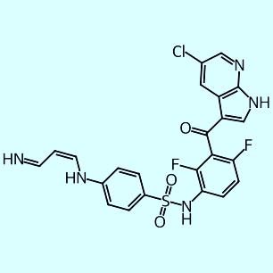 N=C/C=C\Nc1ccc(S(=O)(=O)Nc2ccc(F)c(C(=O)c3c[nH]c4ncc(Cl)cc34)c2F)cc1